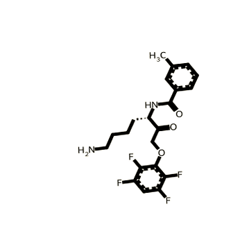 Cc1cccc(C(=O)N[C@@H](CCCCN)C(=O)COc2c(F)c(F)cc(F)c2F)c1